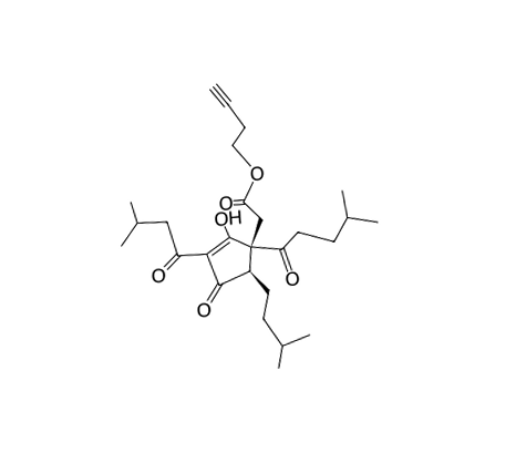 C#CCCOC(=O)C[C@]1(C(=O)CCC(C)C)C(O)=C(C(=O)CC(C)C)C(=O)[C@@H]1CCC(C)C